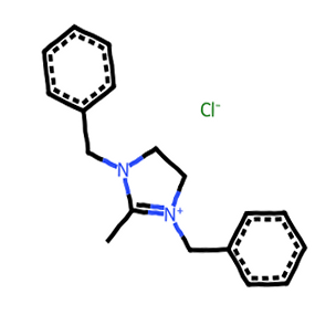 CC1=[N+](Cc2ccccc2)CCN1Cc1ccccc1.[Cl-]